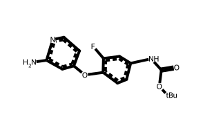 CC(C)(C)OC(=O)Nc1ccc(Oc2ccnc(N)c2)c(F)c1